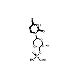 CC[C@H](COP(=O)(O)OC)OC(CO)n1ccc(=O)[nH]c1=O